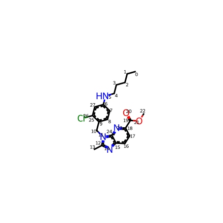 CCCCCNc1ccc(Cn2c(C)nc3ccc(C(=O)OC)nc32)c(Cl)c1